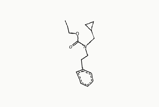 CCOC(=O)N(CCc1ccccc1)CC1CC1